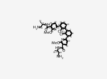 COc1nc(-c2cccc(-c3cccc(-c4ccc(C(=O)N[C@H](C)CN)c(OC)n4)c3Cl)c2Cl)ccc1C(=O)N[C@H](C)CN